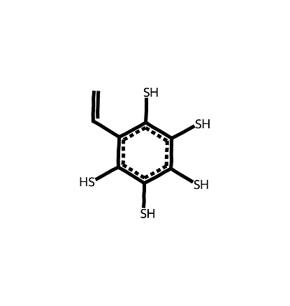 C=Cc1c(S)c(S)c(S)c(S)c1S